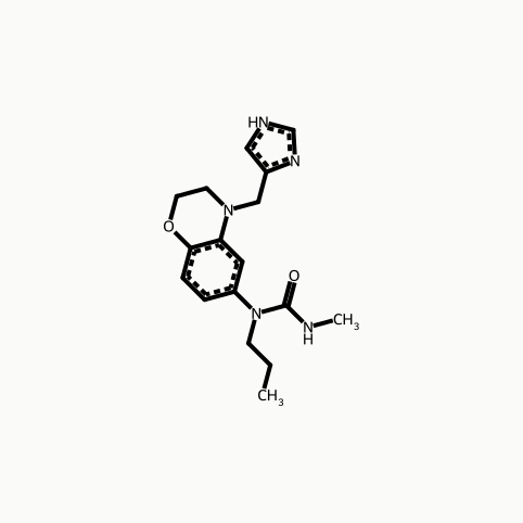 CCCN(C(=O)NC)c1ccc2c(c1)N(Cc1c[nH]cn1)CCO2